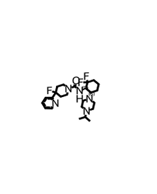 CC(C)N1CCN([C@H]2CCCC(F)(F)[C@@H]2NC(=O)N2CCC(F)(c3ccccn3)CC2)CC1